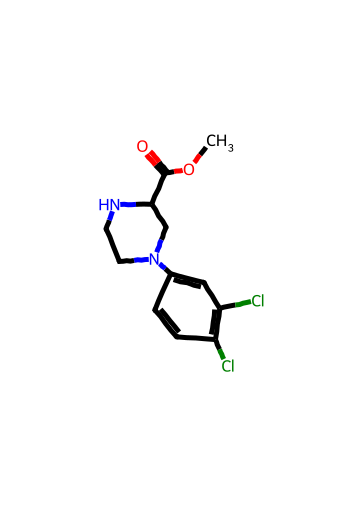 COC(=O)C1CN(c2ccc(Cl)c(Cl)c2)CCN1